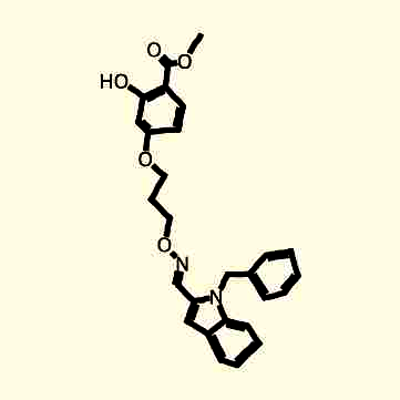 COC(=O)c1ccc(OCCCON=Cc2cc3ccccc3n2Cc2ccccc2)cc1O